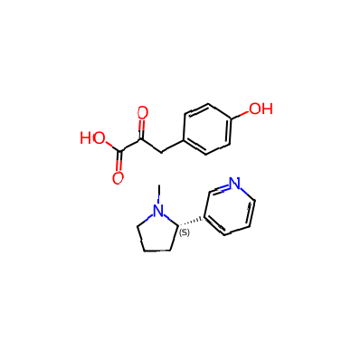 CN1CCC[C@H]1c1cccnc1.O=C(O)C(=O)Cc1ccc(O)cc1